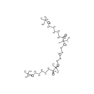 CCC(C)(OCCOCCOC(C)(C)C(=O)CCCCCOC(C)(C)C)C(=O)CCCCCOC(C)(C)C